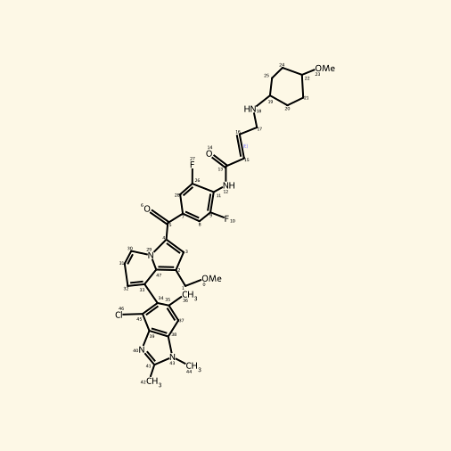 COCc1cc(C(=O)c2cc(F)c(NC(=O)/C=C/CNC3CCC(OC)CC3)c(F)c2)n2cccc(-c3c(C)cc4c(nc(C)n4C)c3Cl)c12